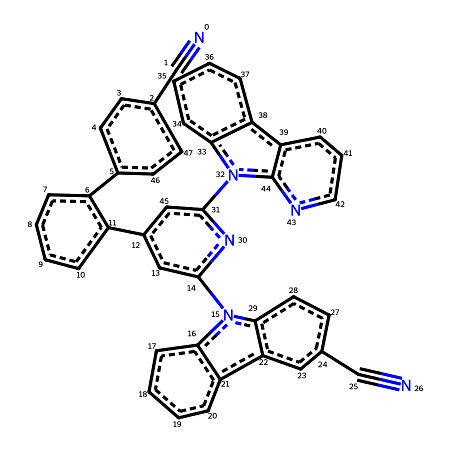 N#Cc1ccc(-c2ccccc2-c2cc(-n3c4ccccc4c4cc(C#N)ccc43)nc(-n3c4ccccc4c4cccnc43)c2)cc1